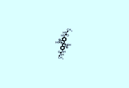 CCNC(=O)Nc1ccc(C=Cc2ccc(NC(=O)NCC)cc2S(=O)(=O)O)c(S(=O)(=O)O)c1